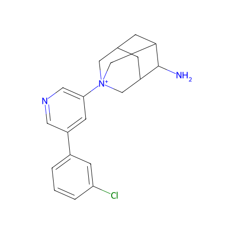 NC1C2CC3CC1C[N+](c1cncc(-c4cccc(Cl)c4)c1)(C3)C2